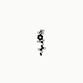 CCOC(=O)C(=O)CSc1nc2cc(S(=O)(=O)O)ccc2[nH]1